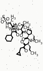 CCC[C@H]1CCN(C(=O)[C@@H](NC(=O)[C@H](NC(=O)[C@@H](C)NS(C)(=O)=O)C2CCCCC2)C(C)(C)C)[C@@H]1C(=O)N[C@@H](CCC)C(=O)C(=O)CC1CC1